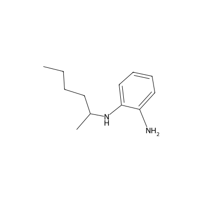 CCCCC(C)Nc1ccccc1N